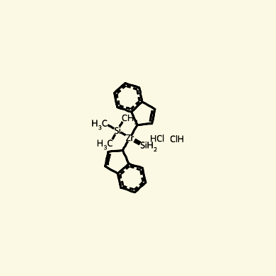 C[Si](C)(C)[Zr](=[SiH2])([CH]1C=Cc2ccccc21)[CH]1C=Cc2ccccc21.Cl.Cl